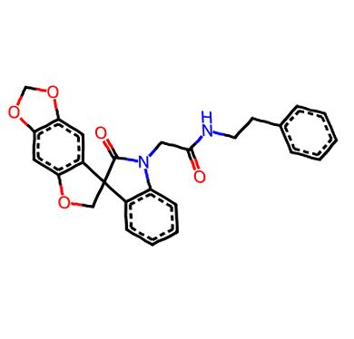 O=C(CN1C(=O)C2(COc3cc4c(cc32)OCO4)c2ccccc21)NCCc1ccccc1